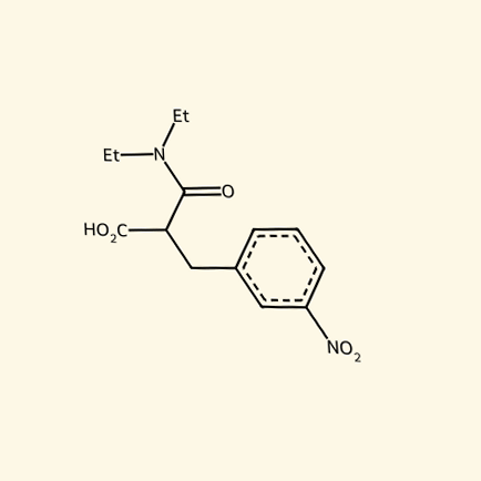 CCN(CC)C(=O)C(Cc1cccc([N+](=O)[O-])c1)C(=O)O